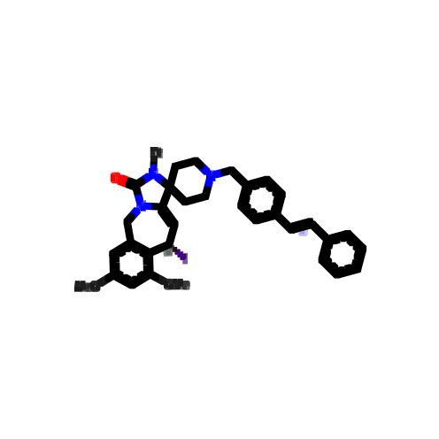 CCN1C(=O)N2Cc3cc(OC)cc(OC)c3[C@@H](I)C=C2C12CCN(Cc1ccc(/C=C/c3ccccc3)cc1)CC2